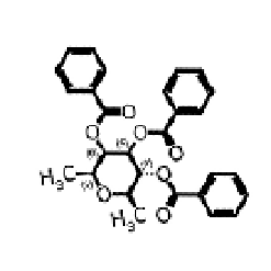 CC1O[C@@H](C)[C@@H](OC(=O)c2ccccc2)[C@@H](OC(=O)c2ccccc2)[C@@H]1OC(=O)c1ccccc1